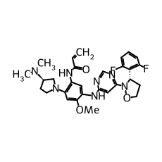 C=CC(=O)Nc1cc(Nc2cc(N3OCC[C@H]3c3c(F)cccc3F)ncn2)c(OC)cc1N1CC[C@@H](N(C)C)C1